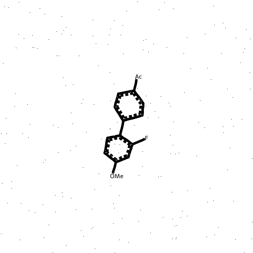 COc1ccc(-c2ccc(C(C)=O)cc2)c(F)c1